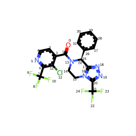 O=C(c1ccnc(C(F)(F)F)c1Cl)N1CCn2c(nnc2C(F)(F)F)[C@@H]1c1ccccc1